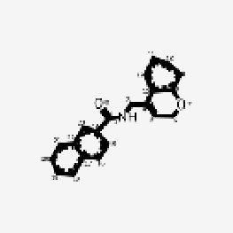 O=C(NCC1=CCOc2ccccc21)c1ccc2ccccc2c1